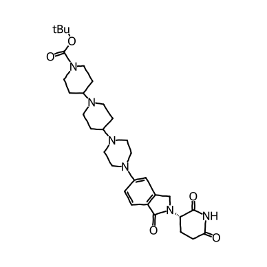 CC(C)(C)OC(=O)N1CCC(N2CCC(N3CCN(c4ccc5c(c4)CN([C@H]4CCC(=O)NC4=O)C5=O)CC3)CC2)CC1